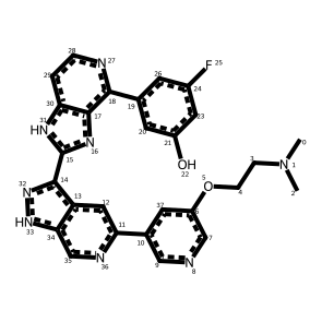 CN(C)CCOc1cncc(-c2cc3c(-c4nc5c(-c6cc(O)cc(F)c6)nccc5[nH]4)n[nH]c3cn2)c1